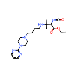 CCOC(=O)C(N=C=O)C(C)(C)NCCCCN1CCN(c2ncccn2)CC1